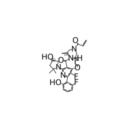 C=CC(=O)N1C[C@@H]2COc3c(F)c(-c4c(O)cccc4F)nc(N4C[C@@H](O)CC4(C)C)c3C(=O)N2[C@@H](C)C1